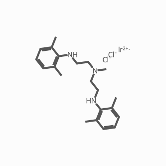 Cc1cccc(C)c1NCCN(C)CCNc1c(C)cccc1C.[Cl-].[Cl-].[Ir+2]